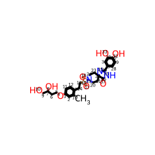 Cc1cc(OCCC(O)CO)ccc1CCS(=O)(=O)N1CCC2(CC1)N=C(c1ccc(O)c(O)c1)NC2=O